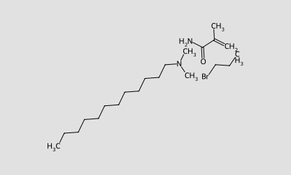 C=C(C)C(N)=O.CCCBr.CCCCCCCCCCCCN(C)C